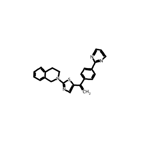 C=C(c1ccc(-c2ncccn2)cc1)c1cnc(N2CCc3ccccc3C2)s1